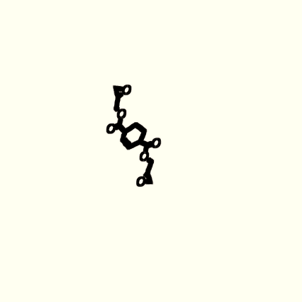 O=C(OCC1CO1)C1C=CC(C(=O)OCC2CO2)CC1